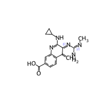 C=C1/C(=N\C(N)=N/C)C(NC2CC2)=Nc2cc(C(=O)O)ccc21